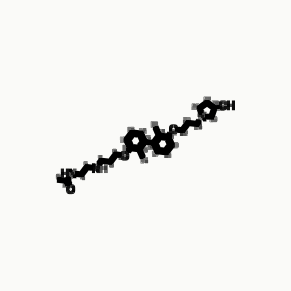 CC(=O)NCCNCCCOc1cccc(-c2cccc(OCCCN3CC[C@@H](O)C3)c2C)c1C